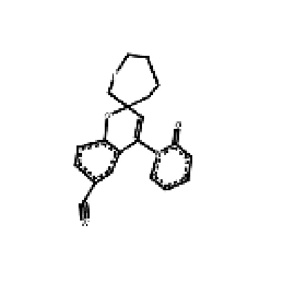 N#Cc1ccc2c(c1)C(n1ccccc1=O)=CC1(CCCCCC1)O2